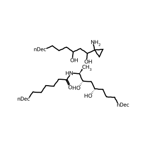 CCCCCCCCCCCCCC(O)CC(O)C1(N)CC1.CCCCCCCCCCCCCCCC(=O)N[C@@H](C)[C@@H](O)C[C@@H](O)CCCCCCCCCCCCC